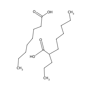 CCCCCCC(CCC)C(=O)O.CCCCCCCC(=O)O